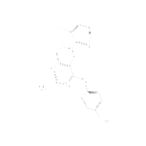 COc1nc2c(c(Nc3ccc(C(C)(C)C)cc3)n1)CN(c1ncccc1Cl)CC2